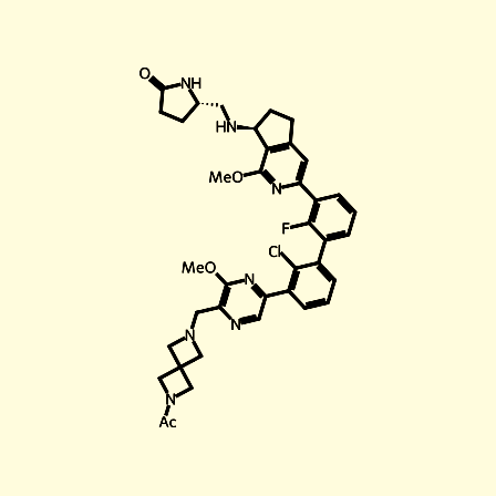 COc1nc(-c2cccc(-c3cccc(-c4cc5c(c(OC)n4)[C@@H](NC[C@@H]4CCC(=O)N4)CC5)c3F)c2Cl)cnc1CN1CC2(C1)CN(C(C)=O)C2